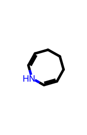 C1=C\N/C=C\CCC/1